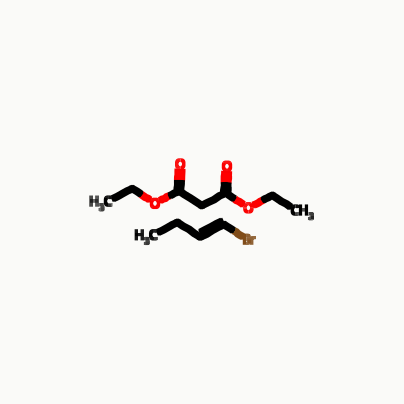 CCC=CBr.CCOC(=O)CC(=O)OCC